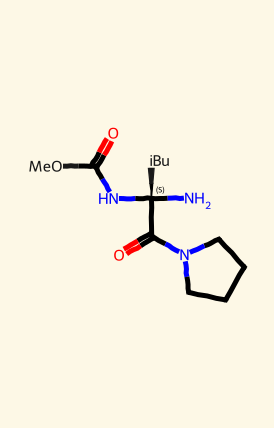 CCC(C)[C@](N)(NC(=O)OC)C(=O)N1CCCC1